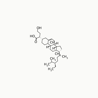 CC[C@H](CC[C@@H](C)[C@H]1CC[C@H]2[C@@H]3CC=C4C[C@@H](C(CCO)C(=O)O)CC[C@]4(C)[C@H]3CC[C@]12C)C(C)C